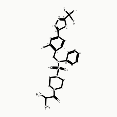 CC(C)C(=O)N1CCN(S(=O)(=O)N(Cc2ccc(-c3nnc(C(F)(F)F)o3)cc2F)c2ccccc2)CC1